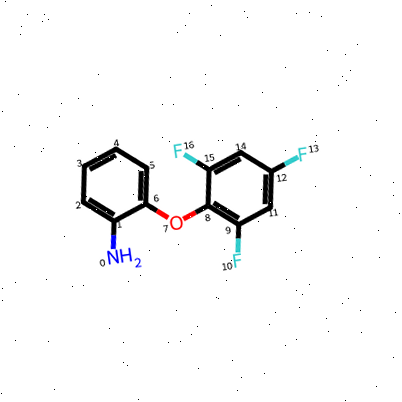 Nc1ccccc1Oc1c(F)cc(F)cc1F